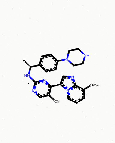 COc1cccn2c(-c3nc(N[C@@H](C)c4ccc(N5CCNCC5)cc4)ncc3C#N)cnc12